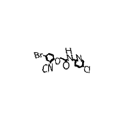 N#Cc1cc(Br)ccc1OCC(=O)Nc1ccc(Cl)cn1